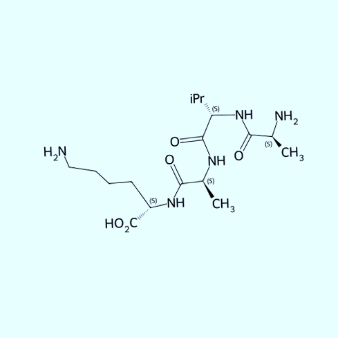 CC(C)[C@H](NC(=O)[C@H](C)N)C(=O)N[C@@H](C)C(=O)N[C@@H](CCCCN)C(=O)O